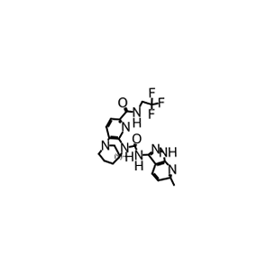 Cc1ccc2c(NC(=O)N3c4nc(C(=O)NCC(F)(F)F)ccc4N4CCC[C@H]3C4)n[nH]c2n1